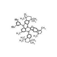 Cc1cc2c3c(c1)N(c1ccc4c(c1)C(C)(C)CCC4(C)C)c1c(oc4cc5c(cc14)C1(C)CCC5(C)CC1)B3c1cc3c(cc1N2c1cc(C(C)(C)C)cc(C(C)(C)C)c1)C(C)(C)CCC3(C)C